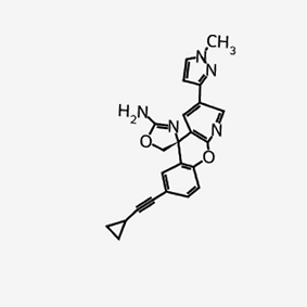 Cn1ccc(-c2cnc3c(c2)[C@]2(COC(N)=N2)c2cc(C#CC4CC4)ccc2O3)n1